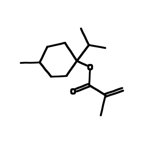 C=C(C)C(=O)OC1(C(C)C)CCC(C)CC1